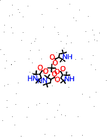 CC1(C)CC(C(=O)OCC(COC(=O)C2CC(C)(C)NC2(C)C)(COC(=O)C2CC(C)(C)NC2(C)C)COC(=O)C2CC(C)(C)NC2(C)C)C(C)(C)N1